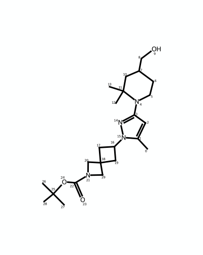 Cc1cc(N2CCC(CO)CC2(C)C)nn1C1CC2(C1)CN(C(=O)OC(C)(C)C)C2